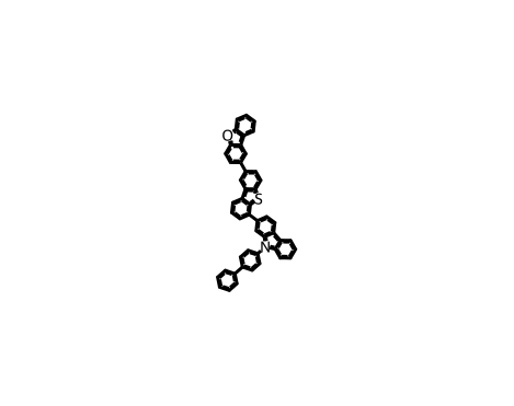 c1ccc(-c2ccc(-n3c4ccccc4c4ccc(-c5cccc6c5sc5ccc(-c7ccc8oc9ccccc9c8c7)cc56)cc43)cc2)cc1